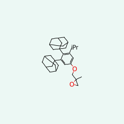 CC(C)c1cc(OCC2(C)CO2)cc(C23CC4CC(CC(C4)C2)C3)c1C12CC3CC(CC(C3)C1)C2